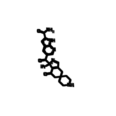 CC(C)[N+]1(C(=O)c2cnc3[nH]c(C(N)=O)cc3c2)N=CC2=C1C(=O)CC1(CCNCC1)C2